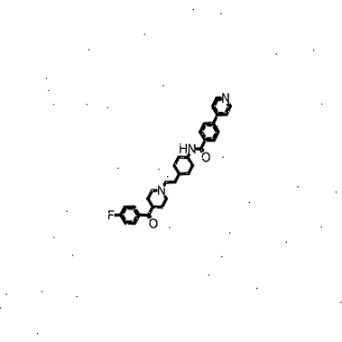 O=C(NC1CCC(CCN2CCC(C(=O)c3ccc(F)cc3)CC2)CC1)c1ccc(-c2ccncc2)cc1